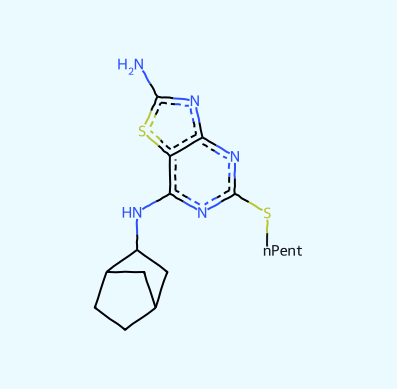 CCCCCSc1nc(NC2CC3CCC2C3)c2sc(N)nc2n1